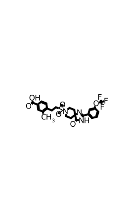 Cc1cc(C(=O)O)ccc1CCS(=O)(=O)N1CCC2(CC1)N=C(c1cccc(OC(F)(F)F)c1)NC2=O